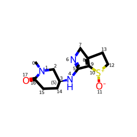 CN1C[C@@H](NC2=NCC3=C2[S+]([O-])CC3)CCC1=O